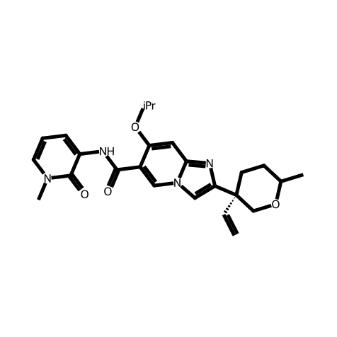 C=C[C@]1(c2cn3cc(C(=O)Nc4cccn(C)c4=O)c(OC(C)C)cc3n2)CCC(C)OC1